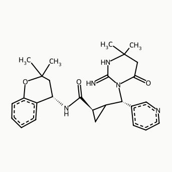 CC1(C)CC(=O)N([C@H](c2cccnc2)C2C[C@H]2C(=O)N[C@H]2CC(C)(C)Oc3ccccc32)C(=N)N1